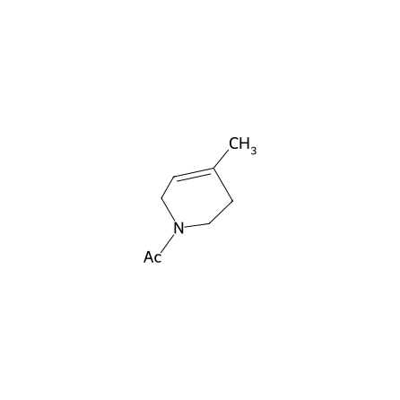 CC(=O)N1CC=C(C)CC1